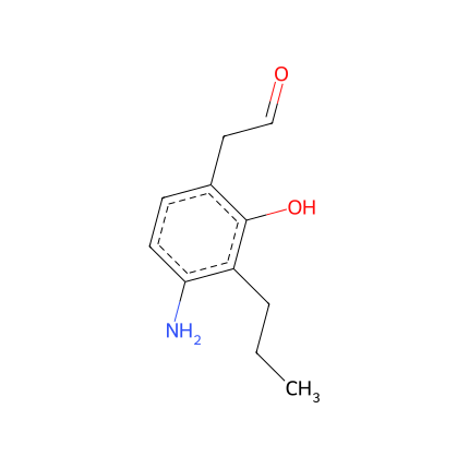 CCCc1c(N)ccc(CC=O)c1O